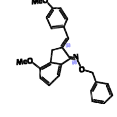 COc1ccc(/C=C2\Cc3c(OC)cccc3\C2=N/OCc2ccccc2)cc1